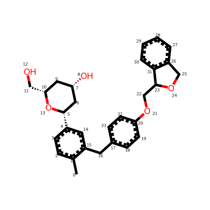 Cc1ccc([C@H]2C[C@@H](O)C[C@@H](CO)O2)cc1Cc1ccc(OCC2OCc3ccccc32)cc1